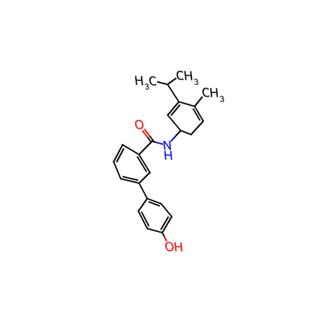 CC1=CCC(NC(=O)c2cccc(-c3ccc(O)cc3)c2)C=C1C(C)C